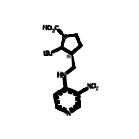 CC(C)(C)C1[C@H](CNc2ccncc2[N+](=O)[O-])CCN1C(=O)O